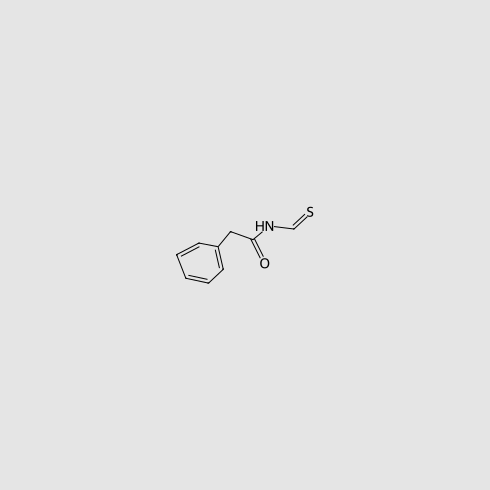 O=C(Cc1ccccc1)NC=S